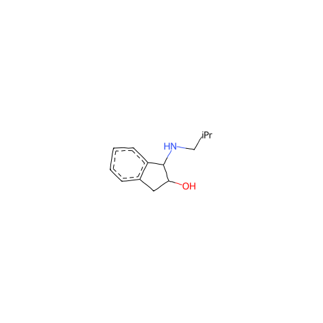 CC(C)CNC1c2ccccc2CC1O